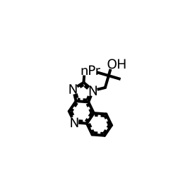 CCCc1nc2cnc3ccccc3c2n1CC(C)(C)O